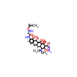 CC1CC1ONCC(=O)Nc1ccc2c(c1O)C(=O)C1=C(O)C3(O)C(=O)C(C(N)=O)=C(O)[C@@H](N(C)C)C3CC1C2